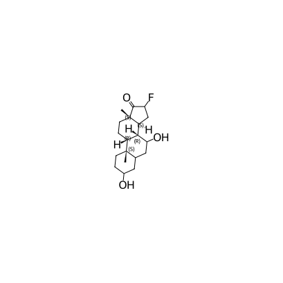 C[C@]12CCC(O)CC1CC(O)[C@@H]1[C@H]2CC[C@]2(C)C(=O)C(F)C[C@@H]12